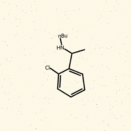 CCCCNC(C)c1ccccc1Cl